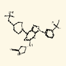 CC(C)(O)CC1CCN(c2nc(N[C@@H]3CNC(=O)C3)nc3c2cnn3-c2cccc(C(F)(F)F)c2)CC1